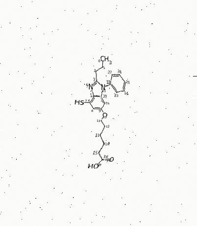 CCCc1nc2c(S)cc(OCCCCCC(=O)O)cc2n1-c1ccccc1